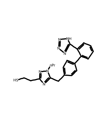 CCCn1nc(CCS)nc1Cc1ccc(-c2ccccc2-c2nnn[nH]2)cc1